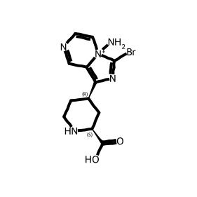 N[N+]12C=CN=CC1=C([C@@H]1CCN[C@H](C(=O)O)C1)N=C2Br